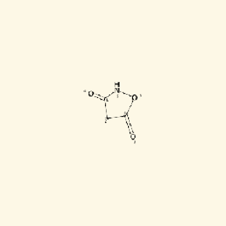 O=C1[C]C(=O)ON1